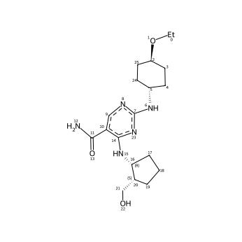 CCO[C@H]1CC[C@H](Nc2ncc(C(N)=O)c(N[C@@H]3CCC[C@@H]3CO)n2)CC1